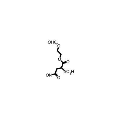 O=COCCOC(=O)C(CC(=O)N=O)S(=O)(=O)O